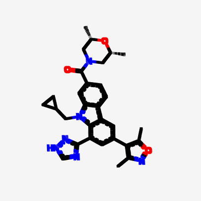 Cc1noc(C)c1-c1cc(-c2nc[nH]n2)c2c(c1)c1ccc(C(=O)N3C[C@@H](C)O[C@@H](C)C3)cc1n2CC1CC1